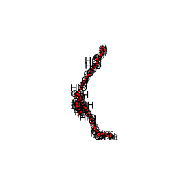 CC(=O)[C@H](CCCCNC(=O)COCCOCCCC(=O)COCCOCCNC(=O)CC[C@H](CC(=O)CCCc1ccc(C(C)(C)C)cc1)C(=O)O)NCC(=O)[C@H](CCCCNC(=O)COCCOCCNC(=O)COCCOCCCC(=O)CC[C@H](NC(=O)CCCc1ccc(C(C)(C)C)cc1)C(=O)O)CCC(=O)C(C)(C)C(=O)NCCc1c[nH]cn1